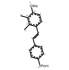 CCCCCc1ccc(C=Cc2ccc(OC)c(C)c2C)cc1